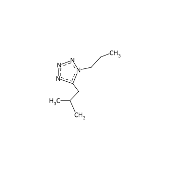 CCCn1nnnc1CC(C)C